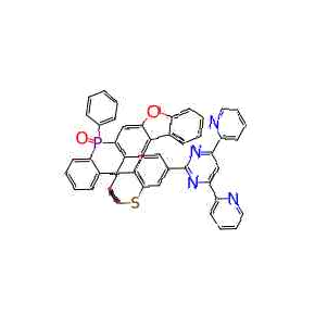 O=P1(c2ccccc2)c2ccccc2C2(c3ccccc3Sc3cc(-c4nc(-c5ccccn5)cc(-c5ccccn5)n4)ccc32)c2cc3c(cc21)oc1ccccc13